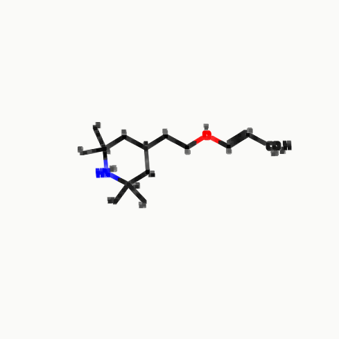 CC1(C)CC(CCOC=CC(=O)O)CC(C)(C)N1